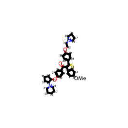 COc1ccc2c(C(=O)c3ccc(O[C@@H]4CCC[C@H]4N4CCCCC4)cc3)c(-c3ccc(OCCN4CCCC4)cc3)sc2c1